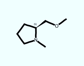 COC[C@@H]1CCCN1C